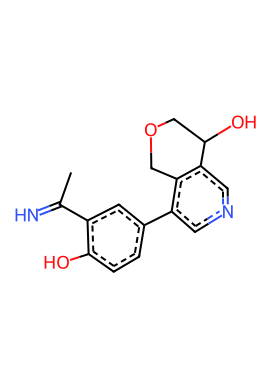 CC(=N)c1cc(-c2cncc3c2COCC3O)ccc1O